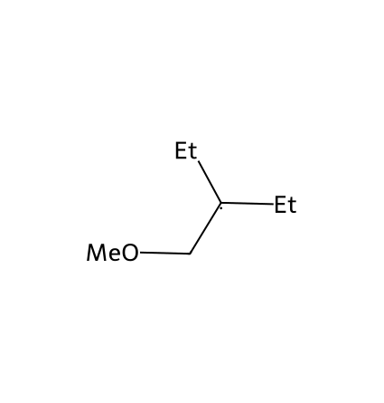 CC[C](CC)COC